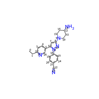 CCc1ccc(-c2cc(N3CCC(N)CC3)nn2-c2ccc(C#N)cc2)cn1